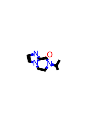 CC(C)N1CCn2ccnc2C1=O